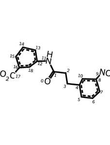 O=C(CCc1cccc([N+](=O)[O-])c1)Nc1cccc(C(=O)O)c1